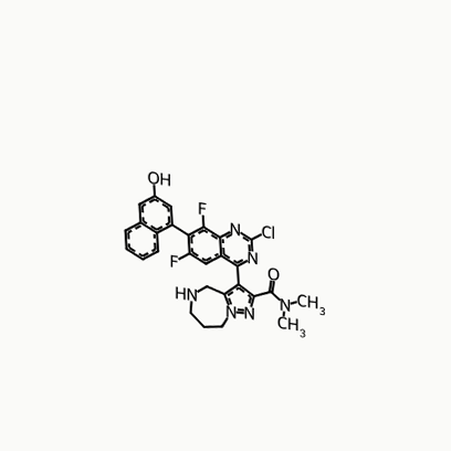 CN(C)C(=O)c1nn2c(c1-c1nc(Cl)nc3c(F)c(-c4cc(O)cc5ccccc45)c(F)cc13)CNCCC2